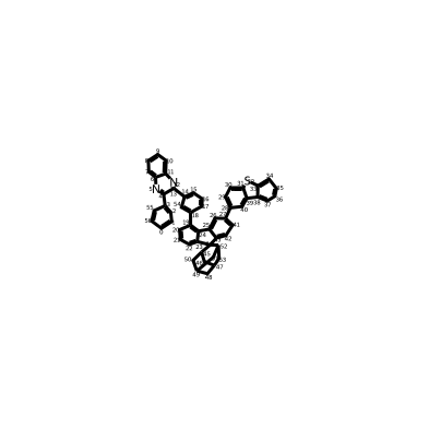 c1ccc(-c2nc3ccccc3nc2-c2cccc(-c3cccc4c3-c3cc(-c5ccc6sc7ccccc7c6c5)ccc3C43C4CC5CC(C4)CC3C5)c2)cc1